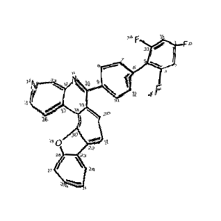 Fc1cc(F)c(-c2ccc(-c3nc4cnccc4c4c3ccc3c5ccccc5oc34)cc2)c(F)c1